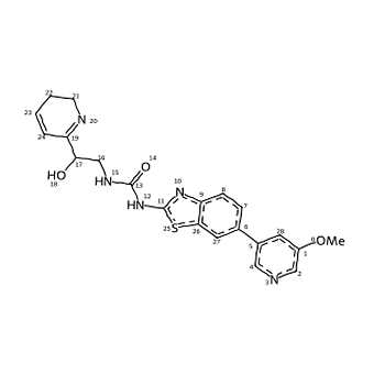 COc1cncc(-c2ccc3nc(NC(=O)NCC(O)C4=NCCC=C4)sc3c2)c1